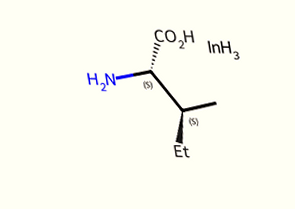 CC[C@H](C)[C@H](N)C(=O)O.[InH3]